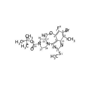 CSc1nc2c3c(c(F)c(Br)c(C)c3n1)OC[C@@H]1CN(C(=O)OC(C)(C)C)CCN21